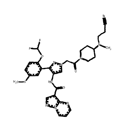 CSc1ccc(OC(F)F)c(-c2nn(CC(=O)N3CCC(N(C)CCC#N)CC3)cc2NC(=O)c2cnn3cccnc23)c1